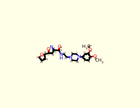 COc1ccc(N2CCN(CCNC(=O)c3cc(-c4ccco4)on3)CC2)cc1OC